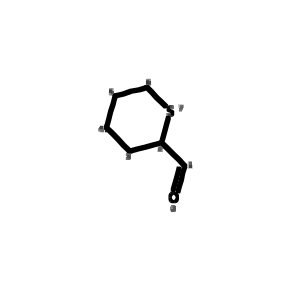 O=CC1C[CH]CCS1